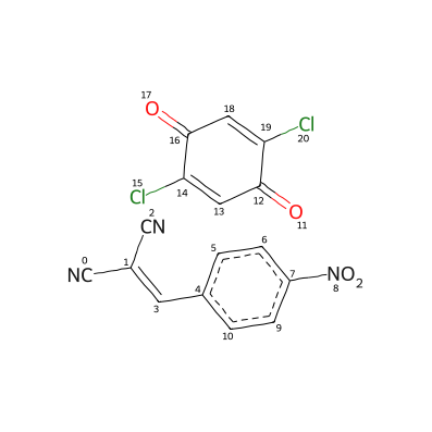 N#CC(C#N)=Cc1ccc([N+](=O)[O-])cc1.O=C1C=C(Cl)C(=O)C=C1Cl